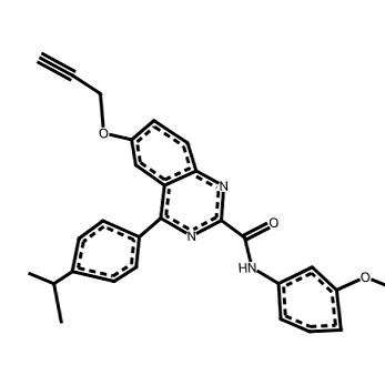 C#CCOc1ccc2nc(C(=O)Nc3cccc(OC)c3)nc(-c3ccc(C(C)C)cc3)c2c1